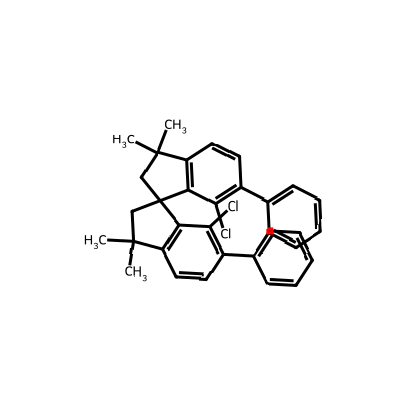 CC1(C)CC2(CC(C)(C)c3ccc(-c4ccccc4)c(Cl)c32)c2c1ccc(-c1ccccc1)c2Cl